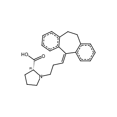 O=C(O)[C@H]1CCCN1CCC=C1c2ccccc2CCc2ccccc21